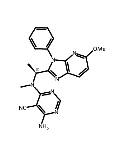 COc1ccc2nc([C@H](C)N(C)c3ncnc(N)c3C#N)n(-c3ccccc3)c2n1